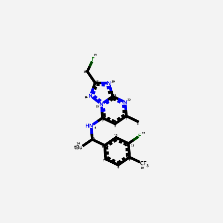 Cc1cc(NC(c2ccc(C(F)(F)F)c(F)c2)C(C)(C)C)n2nc(CF)nc2n1